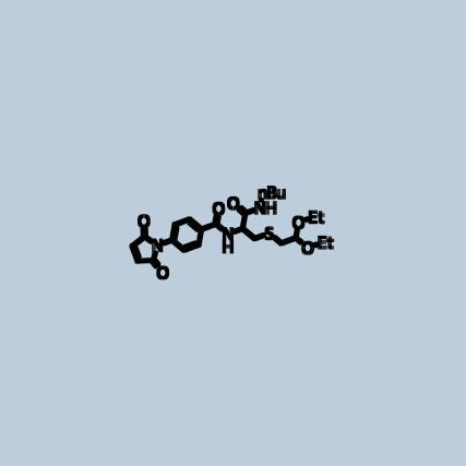 CCCCNC(=O)C(CSCC(OCC)OCC)NC(=O)c1ccc(N2C(=O)C=CC2=O)cc1